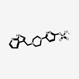 O=S(=O)(Oc1ccc(N2CCN(Cc3c[nH]c4ncccc34)CC2)nn1)C(F)(F)F